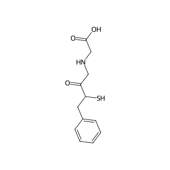 O=C(O)CNCC(=O)C(S)Cc1ccccc1